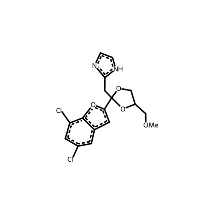 COCC1COC(Cc2ncc[nH]2)(c2cc3cc(Cl)cc(Cl)c3o2)O1